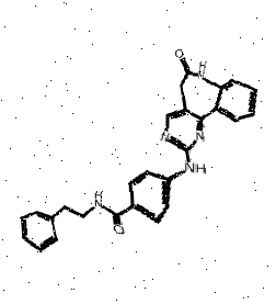 O=C1Cc2cnc(Nc3ccc(C(=O)NCCc4ccccc4)cc3)nc2-c2ccccc2N1